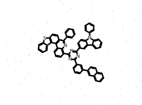 c1ccc(-c2nc3c(-c4nc(-c5cccc(-c6ccc7ccccc7c6)c5)nc(-c5ccc6c(c5)c5ccccc5n6-c5ccccc5)n4)cccc3c3c2ccc2sc4ccccc4c23)cc1